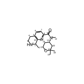 CC1NCCc2ccc(C(=O)N(C)[C@@H]3CCOC(C)(C)C3)nc21